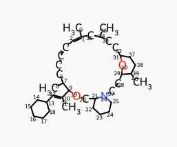 CC1=CCCCCC(C)C(C(C)=CC2CCCCC2)OCC2CCCCN2CCC2OC(CCC(C)C1)CCC2C